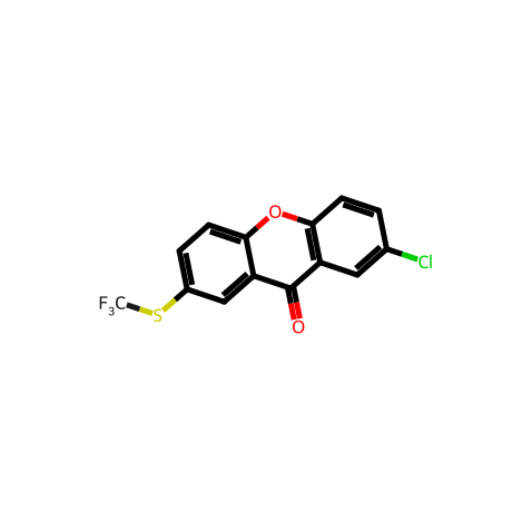 O=c1c2cc(Cl)ccc2oc2ccc(SC(F)(F)F)cc12